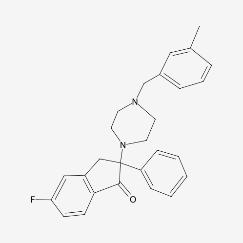 Cc1cccc(CN2CCN(C3(c4ccccc4)Cc4cc(F)ccc4C3=O)CC2)c1